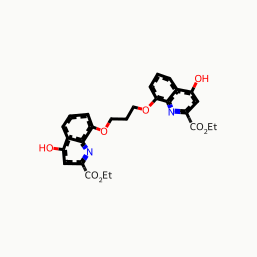 CCOC(=O)c1cc(O)c2cccc(OCCCOc3cccc4c(O)cc(C(=O)OCC)nc34)c2n1